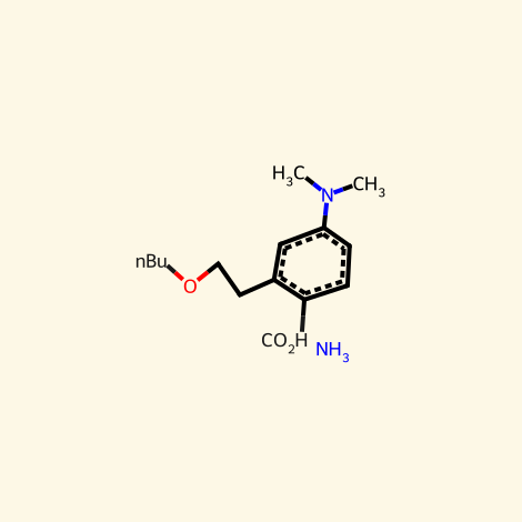 CCCCOCCc1cc(N(C)C)ccc1C(=O)O.N